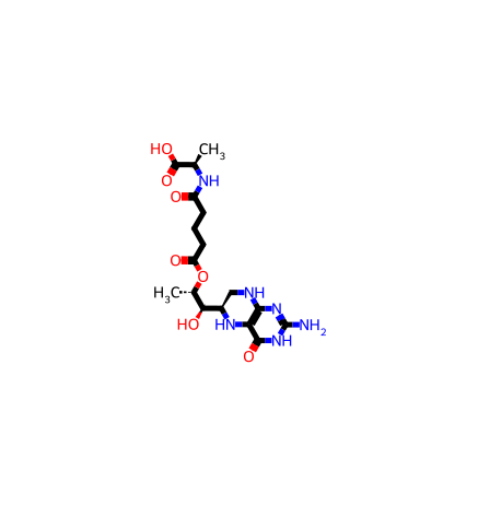 C[C@H](OC(=O)CCCC(=O)N[C@H](C)C(=O)O)[C@H](O)[C@H]1CNc2nc(N)[nH]c(=O)c2N1